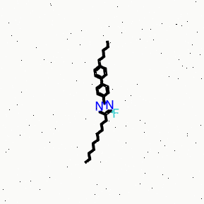 CCCCCCCCCCc1cnc(-c2ccc(-c3ccc(CCCCC)cc3)cc2)nc1F